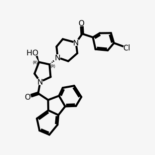 O=C(c1ccc(Cl)cc1)N1CCN([C@@H]2CN(C(=O)C3c4ccccc4-c4ccccc43)C[C@H]2O)CC1